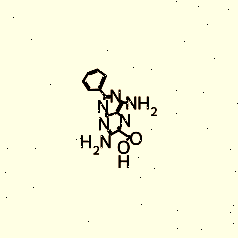 Nc1nc2nc(-c3ccccc3)nc(N)c2nc1C(=O)O